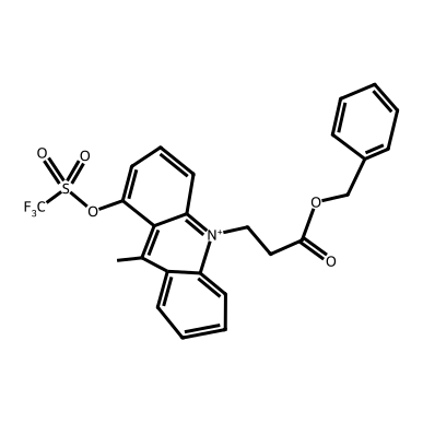 Cc1c2ccccc2[n+](CCC(=O)OCc2ccccc2)c2cccc(OS(=O)(=O)C(F)(F)F)c12